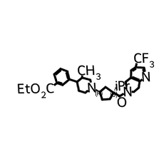 CCOC(=O)c1cccc(C2CCN([C@@H]3CC[C@@](C(=O)N4CCc5ncc(C(F)(F)F)cc5C4)(C(C)C)C3)CC2C)c1